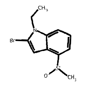 CCn1c(Br)cc2c([S+](C)[O-])cccc21